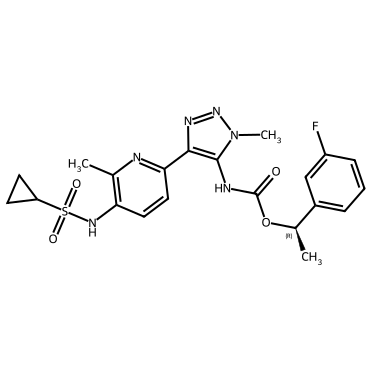 Cc1nc(-c2nnn(C)c2NC(=O)O[C@H](C)c2cccc(F)c2)ccc1NS(=O)(=O)C1CC1